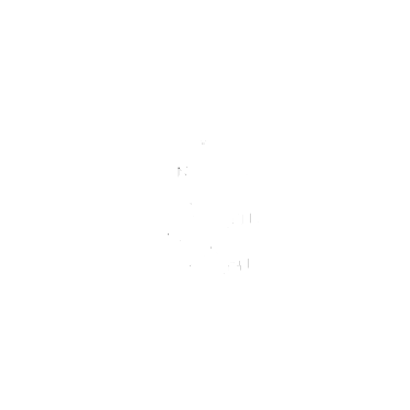 CC1(O)CNC1.c1ccncc1